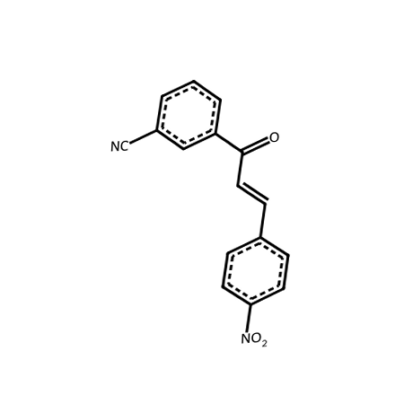 N#Cc1cccc(C(=O)C=Cc2ccc([N+](=O)[O-])cc2)c1